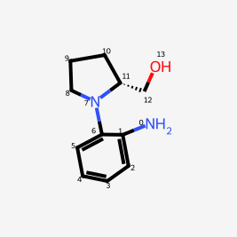 Nc1ccccc1N1CCC[C@@H]1CO